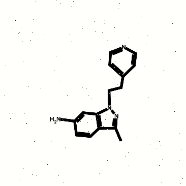 Cc1nn(CCc2ccncc2)c2cc(N)ccc12